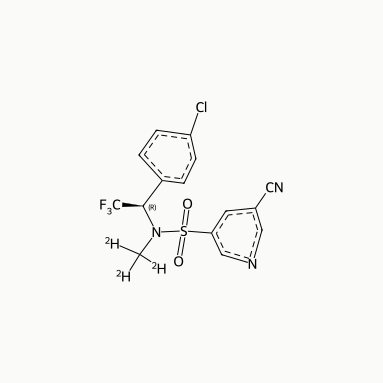 [2H]C([2H])([2H])N([C@H](c1ccc(Cl)cc1)C(F)(F)F)S(=O)(=O)c1cncc(C#N)c1